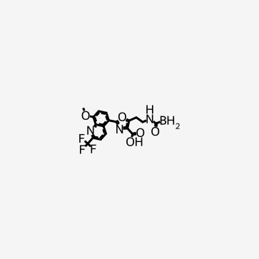 BC(=O)NCCc1oc(-c2ccc(OC)c3nc(C(F)(F)F)ccc23)nc1C(=O)O